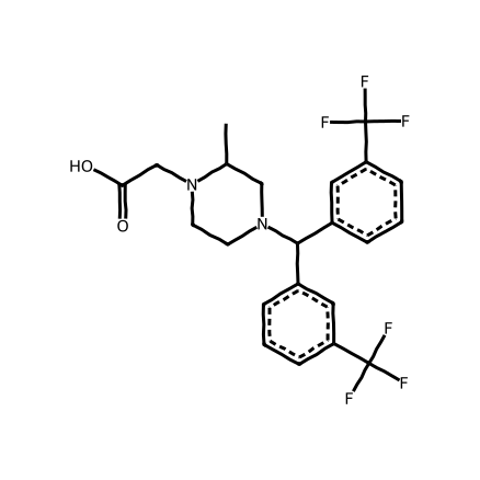 CC1CN(C(c2cccc(C(F)(F)F)c2)c2cccc(C(F)(F)F)c2)CCN1CC(=O)O